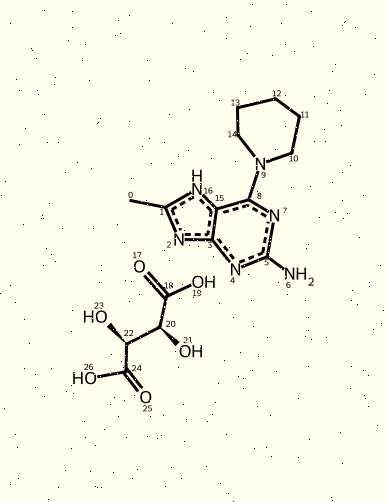 Cc1nc2nc(N)nc(N3CCCCC3)c2[nH]1.O=C(O)[C@@H](O)[C@H](O)C(=O)O